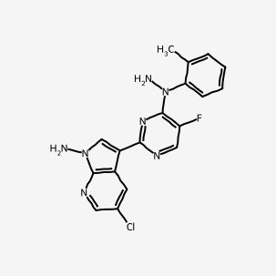 Cc1ccccc1N(N)c1nc(-c2cn(N)c3ncc(Cl)cc23)ncc1F